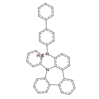 CN(c1ccc(-c2ccccc2)cc1)c1cccc2c1N(c1ccccc1)c1ccccc1-c1ccccc1-2